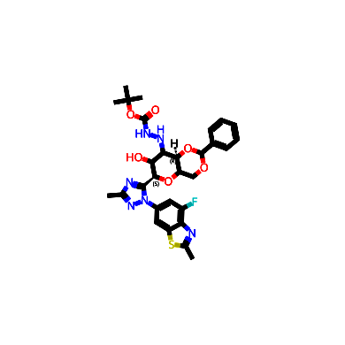 Cc1nc([C@@H]2OC3COC(c4ccccc4)O[C@@H]3C(NNC(=O)OC(C)(C)C)C2O)n(-c2cc(F)c3nc(C)sc3c2)n1